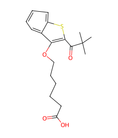 CC(C)(C)C(=O)c1sc2ccccc2c1OCCCCCC(=O)O